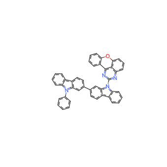 c1ccc(-n2c3ccccc3c3ccc(-c4ccc5c6ccccc6n(-c6nc7c8c(cccc8n6)Oc6ccccc6-7)c5c4)cc32)cc1